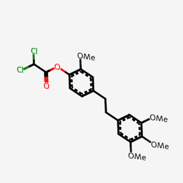 COc1cc(CCc2cc(OC)c(OC)c(OC)c2)ccc1OC(=O)C(Cl)Cl